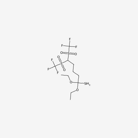 CCOC([SiH3])(CCCC(S(=O)(=O)C(F)(F)F)S(=O)(=O)C(F)(F)F)OCC